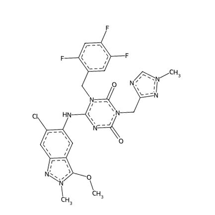 COc1c2cc(Nc3nc(=O)n(Cc4ncn(C)n4)c(=O)n3Cc3cc(F)c(F)cc3F)c(Cl)cc2nn1C